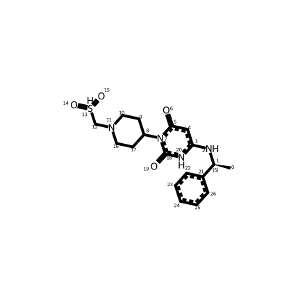 C[C@H](Nc1cc(=O)n(C2CCN(C[SH](=O)=O)CC2)c(=O)[nH]1)c1ccccc1